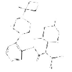 C[C@@H]1CN(C2(C)COC2)CCN1c1ccncc1NC(=O)C(C(N)N=O)C1NCC(Cl)CN1C